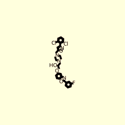 O[C@@H](COc1ccc2oc(-c3cccc(F)c3)nc2c1)CN1CCN(Cc2cc(-c3c(Cl)cccc3Cl)no2)CC1